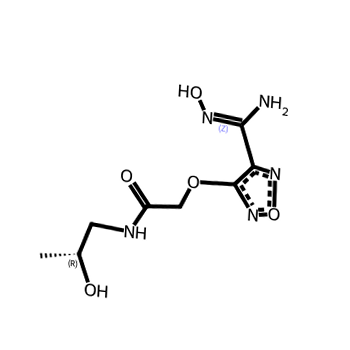 C[C@@H](O)CNC(=O)COc1nonc1/C(N)=N/O